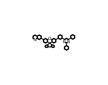 c1ccc(-c2cc(-c3cccc(-c4ccc5c(c4)Oc4cc(-c6ccc7cccnc7c6)ccc4C54c5ccccc5-c5ccccc54)c3)nc(-c3ccccc3)n2)cc1